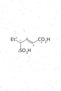 CCC(C=CC(=O)O)S(=O)(=O)O